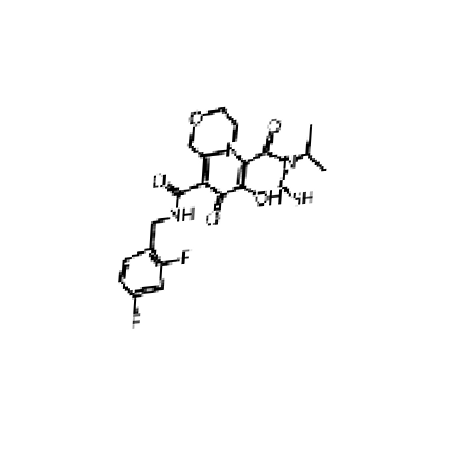 CC(C)N(CS)C(=O)c1c(O)c(=O)c(C(=O)NCc2ccc(F)cc2F)c2n1CCOC2